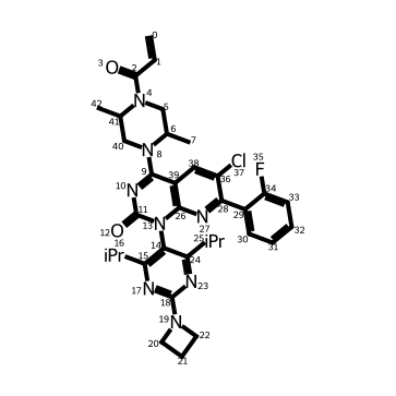 C=CC(=O)N1CC(C)N(c2nc(=O)n(-c3c(C(C)C)nc(N4CCC4)nc3C(C)C)c3nc(-c4ccccc4F)c(Cl)cc23)CC1C